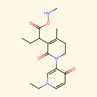 CCC(C(=O)ONC)C1=C(C)CCN(c2cn(CC)ccc2=O)C1=O